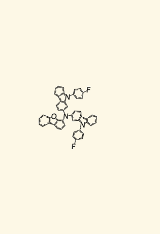 Fc1ccc(-n2c3ccccc3c3ccc(N(c4ccc5c6ccccc6n(-c6ccc(F)cc6)c5c4)c4cccc5c4oc4ccccc45)cc32)cc1